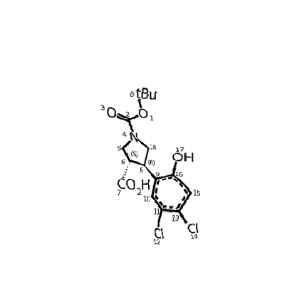 CC(C)(C)OC(=O)N1C[C@@H](C(=O)O)[C@H](c2cc(Cl)c(Cl)cc2O)C1